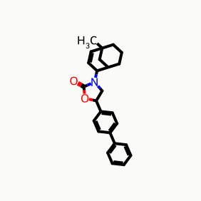 CC12C=CC(N3CC(c4ccc(-c5ccccc5)cc4)OC3=O)C(CCC1)C2